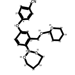 N#Cc1ccc(Oc2ccc(B3OCCCCO3)c(COC3CCCCO3)c2)cc1